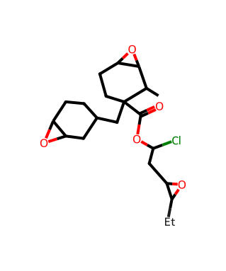 CCC1OC1CC(Cl)OC(=O)C1(CC2CCC3OC3C2)CCC2OC2C1C